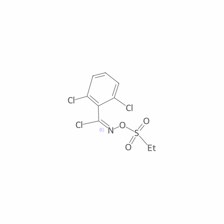 CCS(=O)(=O)O/N=C(/Cl)c1c(Cl)cccc1Cl